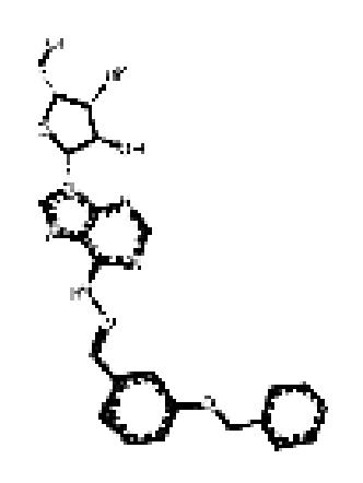 OC[C@H]1O[C@@H](n2cnc3c(N/N=C/c4cccc(OCc5ccccc5)c4)ncnc32)[C@H](O)[C@@H]1O